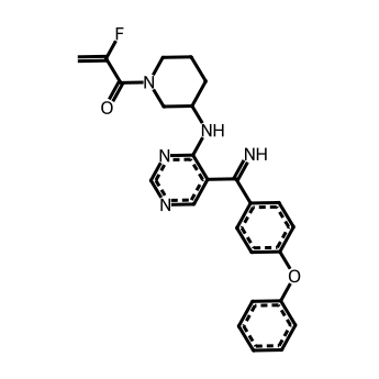 C=C(F)C(=O)N1CCCC(Nc2ncncc2C(=N)c2ccc(Oc3ccccc3)cc2)C1